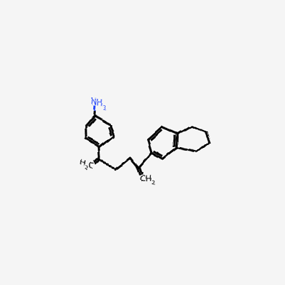 C=C(CCC(=C)c1ccc2c(c1)CCCC2)c1ccc(N)cc1